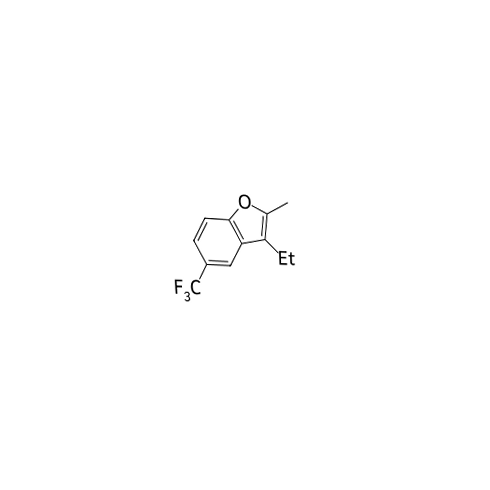 CCc1c(C)oc2ccc(C(F)(F)F)cc12